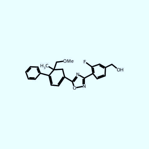 COCC1(C)CC(c2nc(-c3ccc(CO)cc3F)no2)=CC=C1c1ccccc1